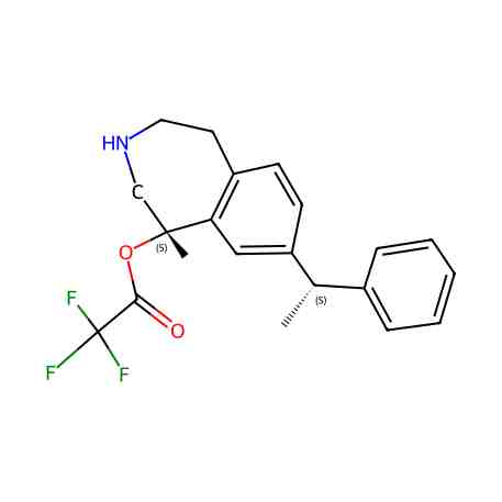 C[C@@H](c1ccccc1)c1ccc2c(c1)[C@](C)(OC(=O)C(F)(F)F)CNCC2